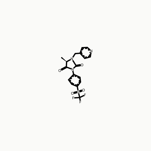 C[C@@H]1C(=O)N(c2ccc(S(=O)(=O)C(F)(F)F)cc2)C(=O)N1Cc1ccncc1